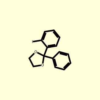 Ic1ccccc1C1(c2ccccc2)OCCO1